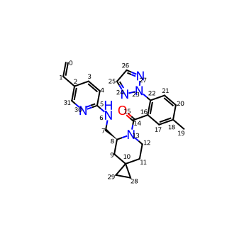 C=Cc1ccc(NC[C@@H]2CC3(CCN2C(=O)c2cc(C)ccc2-n2nccn2)CC3)nc1